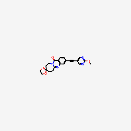 COc1ncc(C#Cc2ccc3c(=O)n4c(nc3c2)CCC2(CC4)OCCO2)cn1